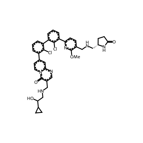 COc1nc(-c2cccc(-c3cccc(-c4ccn5c(=O)c(CNCC(O)C6CC6)cnc5c4)c3Cl)c2Cl)ccc1CNC[C@@H]1CCC(=O)N1